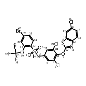 O=S(=O)(Nc1cc(Cl)c(Oc2nc3ccc(Cl)cc3s2)c(Cl)c1)c1ccc(Br)cc1OC(F)(F)F